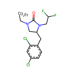 CCOC(=O)CN1CC(Cc2ccc(Cl)cc2Cl)N(CC(F)F)C1=O